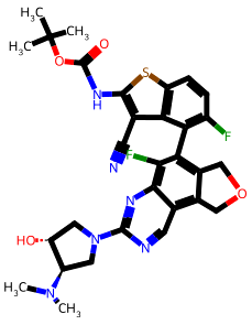 CN(C)[C@@H]1CN(c2ncc3c4c(c(-c5c(F)ccc6sc(NC(=O)OC(C)(C)C)c(C#N)c56)c(F)c3n2)COC4)C[C@H]1O